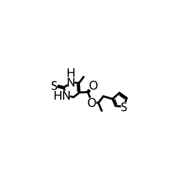 CC1=C(C(=O)OC(C)Cc2ccsc2)CNC(=S)N1